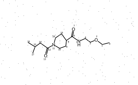 CCOCCNC(=O)C1CCN(C(=O)CC(C)C)CC1